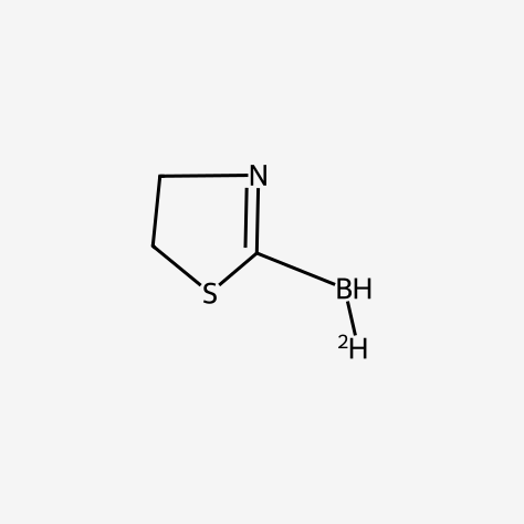 [2H]BC1=NCCS1